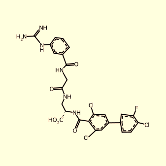 N=C(N)Nc1cccc(C(=O)NCC(=O)NC[C@H](NC(=O)c2c(Cl)cc(-c3ccc(Cl)c(F)c3)cc2Cl)C(=O)O)c1